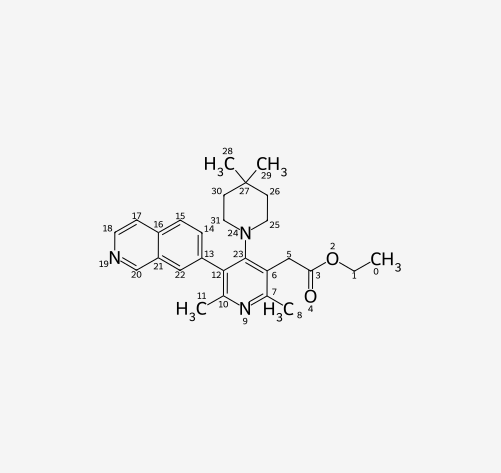 CCOC(=O)Cc1c(C)nc(C)c(-c2ccc3ccncc3c2)c1N1CCC(C)(C)CC1